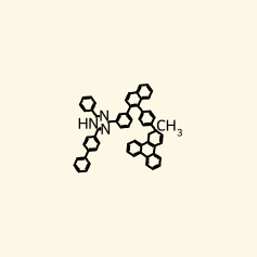 CC1(c2ccc(-c3c(-c4cccc(C5=NC(c6ccccc6)NC(c6ccc(-c7ccccc7)cc6)=N5)c4)ccc4ccccc34)cc2)C=Cc2c(c3ccccc3c3ccccc23)C1